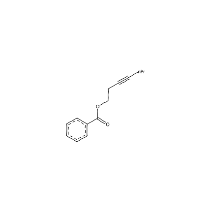 CCCC#CCCOC(=O)c1ccccc1